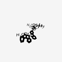 CC1(C)c2ccccc2-c2c1cc(-n1c3ccccc3c3cc(B4OC(C)(C)C(C)(C)O4)ccc31)c1ccccc21